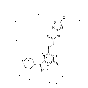 O=C(CSc1nc2c(cnn2C2CCSCC2)c(=O)[nH]1)Nc1nnc(Cl)s1